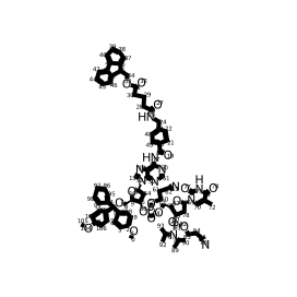 COc1ccc(C(OC[C@H]2O[C@@H](n3cnc4c(NC(=O)c5ccc(CNC(=O)CCCC(=O)OCC6c7ccccc7-c7ccccc76)cc5)ncnc43)C[C@H]2OP(=O)(OCCC#N)OC[C@H]2O[C@@H](n3cc(C)c(=O)[nH]c3=O)C[C@H]2OP(OCCC#N)N(C(C)C)C(C)C)(c2ccccc2)c2ccc(OC)cc2)cc1